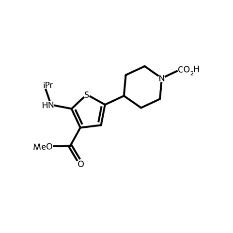 COC(=O)c1cc(C2CCN(C(=O)O)CC2)sc1NC(C)C